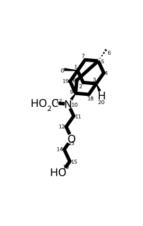 C[C@]12C[C@@H]3C[C@](C)(C1)C[C@](N(CCOCCO)C(=O)O)(C3)C2